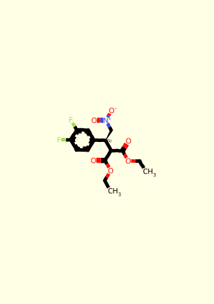 CCOC(=O)C(C(=O)OCC)[C@H](C[N+](=O)[O-])c1ccc(F)c(F)c1